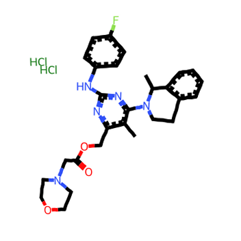 Cc1c(COC(=O)CN2CCOCC2)nc(Nc2ccc(F)cc2)nc1N1CCc2ccccc2C1C.Cl.Cl